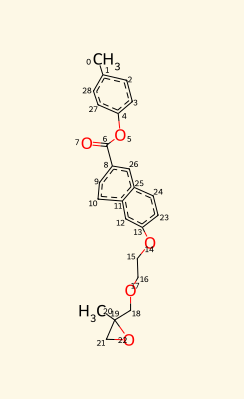 Cc1ccc(OC(=O)c2ccc3cc(OCCOCC4(C)CO4)ccc3c2)cc1